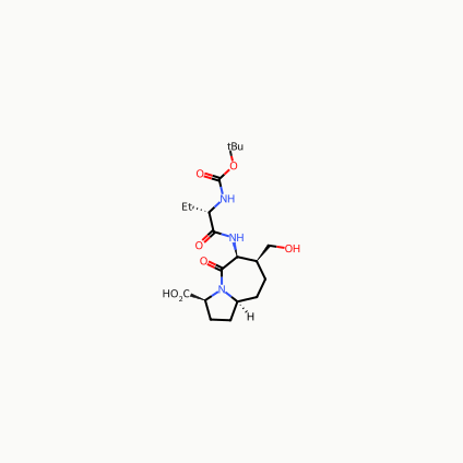 CC[C@H](NC(=O)OC(C)(C)C)C(=O)N[C@@H]1C(=O)N2[C@@H](CC[C@@H]1CO)CC[C@H]2C(=O)O